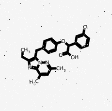 CCc1nc2c(C)cc(C)nn2c1Cc1ccc(OC(C(=O)O)c2cccc(Cl)c2)cc1